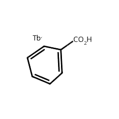 O=C(O)c1ccccc1.[Tb]